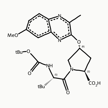 COc1ccc2nc(C)c(O[C@@H]3C[C@@H](C(=O)O)N(C(=O)[C@@H](NC(=O)OC(C)(C)C)C(C)(C)C)C3)nc2c1